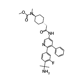 COC(=O)N(C)[C@H]1CC[C@H](CC(=O)Nc2cnc(-c3ccc(C(C)(C)N)c(F)c3)c(-c3ccccc3)c2)CC1